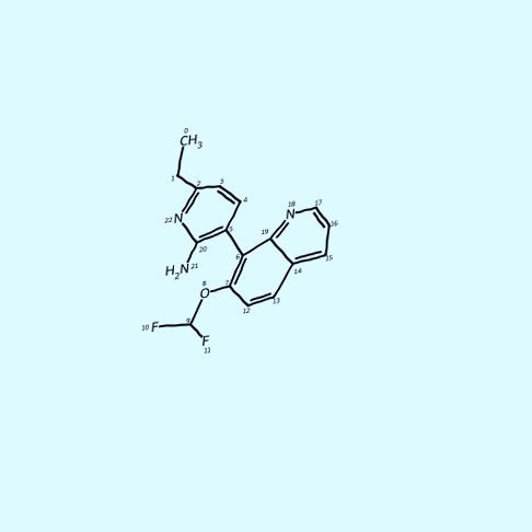 CCc1ccc(-c2c(OC(F)F)ccc3cccnc23)c(N)n1